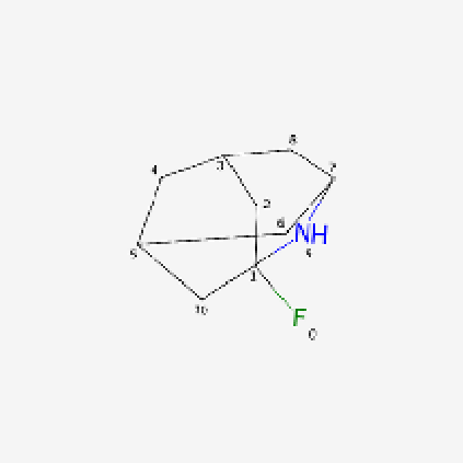 FC12CC3CC(CC(C3)N1)C2